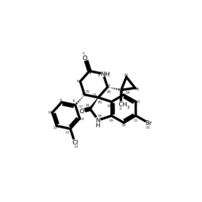 CC1([C@H]2NC(=O)C[C@@H](c3cccc(Cl)c3)[C@]23C(=O)Nc2cc(Br)ccc23)CC1